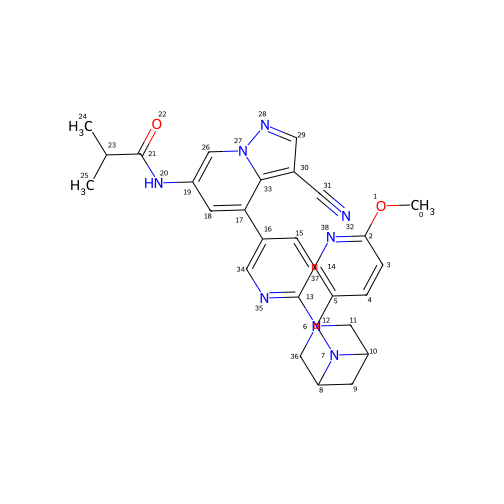 COc1ccc(CN2C3CC2CN(c2ccc(-c4cc(NC(=O)C(C)C)cn5ncc(C#N)c45)cn2)C3)cn1